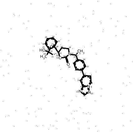 C[C@@H](c1ccc(-c2ccn3ncnc3c2)cc1)N1CC[C@](CC(C)(C)O)(c2ccccc2)OC1=O